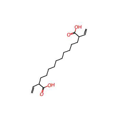 C=CC(CCCCCCCCCCC(C=C)C(=O)O)C(=O)O